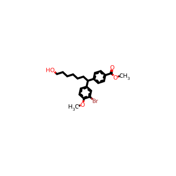 COC(=O)c1ccc(C(CCCCCCO)c2ccc(OC)c(Br)c2)cc1